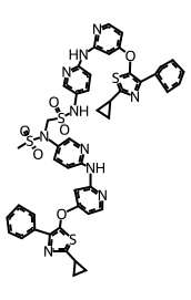 CS(=O)(=O)N(CS(=O)(=O)Nc1ccc(Nc2cc(Oc3sc(C4CC4)nc3-c3ccccc3)ccn2)nc1)c1ccc(Nc2cc(Oc3sc(C4CC4)nc3-c3ccccc3)ccn2)nc1